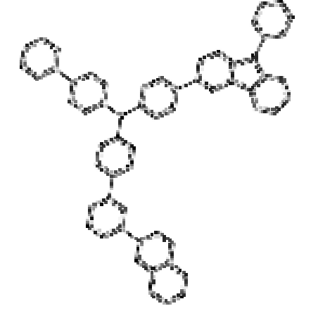 c1ccc(-c2ccc(N(c3ccc(-c4cccc(-c5ccc6ccccc6c5)c4)cc3)c3ccc(-c4ccc5c(c4)c4ccccc4n5-c4ccccc4)cc3)cc2)cc1